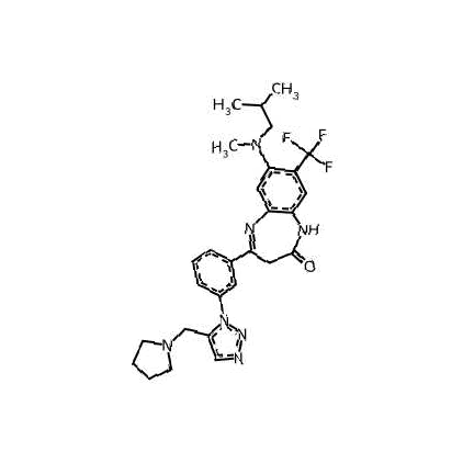 CC(C)CN(C)c1cc2c(cc1C(F)(F)F)NC(=O)CC(c1cccc(-n3nncc3CN3CCCC3)c1)=N2